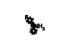 NC(OCc1ccc(F)cc1)c1ccccc1